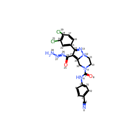 N#Cc1ccc(NC(=O)N2CCn3nc(-c4ccc(Cl)c(Cl)c4)c(C(=O)N=NN)c3C2)cc1